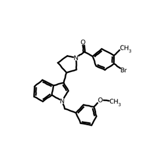 COc1cccc(Cn2cc(C3CCN(C(=O)c4ccc(Br)c(C)c4)C3)c3ccccc32)c1